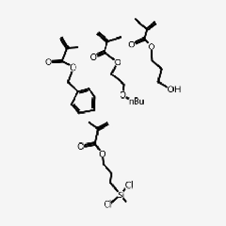 C=C(C)C(=O)OCCCO.C=C(C)C(=O)OCCC[Si](C)(Cl)Cl.C=C(C)C(=O)OCCOCCCC.C=C(C)C(=O)OCc1ccccc1